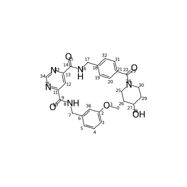 COc1cccc(CNC(=O)c2cc(C(=O)NCc3ccc(C(=O)N4CCC(O)CC4)cc3)ncn2)c1